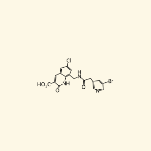 O=C(Cc1cncc(Br)c1)NCc1cc(Cl)cc2cc(C(=O)O)c(=O)[nH]c12